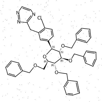 Clc1ccc([C@@H]2O[C@H](COCc3ccccc3)[C@@H](OCc3ccccc3)[C@H](OCc3ccccc3)[C@H]2OCc2ccccc2)cc1Cc1nccnn1